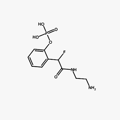 NCCNC(=O)C(F)c1ccccc1OP(=O)(O)O